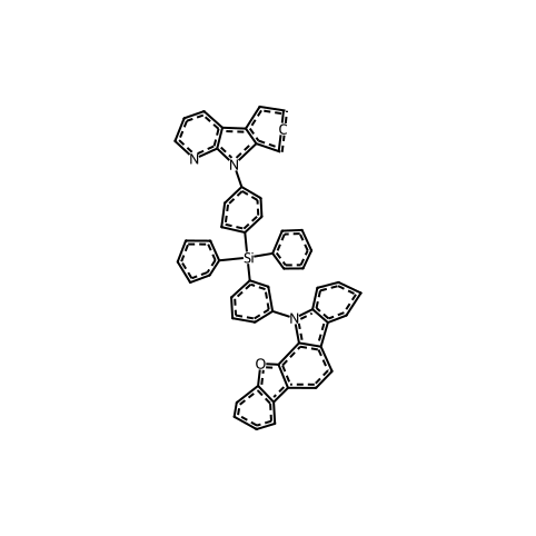 c1ccc([Si](c2ccccc2)(c2ccc(-n3c4ccccc4c4cccnc43)cc2)c2cccc(-n3c4ccccc4c4ccc5c6ccccc6oc5c43)c2)cc1